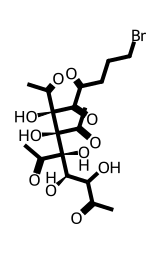 CC(=O)C(O)[C@@H](O)[C@](O)(C(C)=O)[C@@](O)(C(C)=O)[C@](O)(C(C)=O)C(=O)C(=O)CCCBr